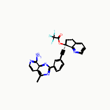 Cc1nc(-c2cccc(C#C[C@]3(OC(=O)C(F)(F)F)CCc4cccnc43)c2)nc2c(N)nccc12